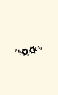 CCCC[C@]1(C)CC[C@H](c2ccc(OCC)cc2)CC1